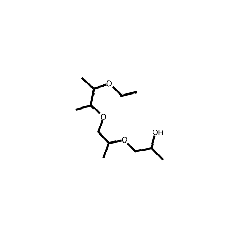 CCOC(C)C(C)OCC(C)OCC(C)O